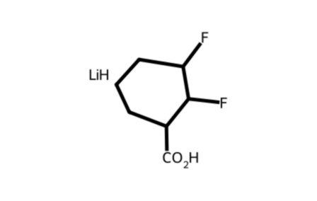 O=C(O)C1CCCC(F)C1F.[LiH]